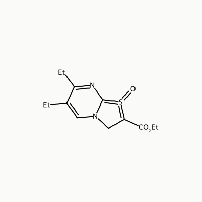 CCOC(=O)C1=S(=O)=C2N=C(CC)C(CC)=CN2C1